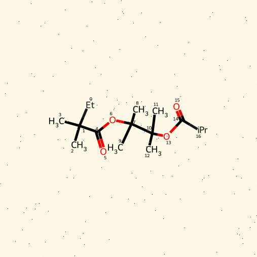 CCC(C)(C)C(=O)OC(C)(C)C(C)(C)OC(=O)C(C)C